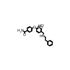 Cl.Cl.NC(=O)c1ccc(Oc2ccc(CNCCc3ccccc3)cn2)cc1